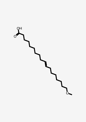 COCCCCCCCC=CCCCCCCCCC(=O)O